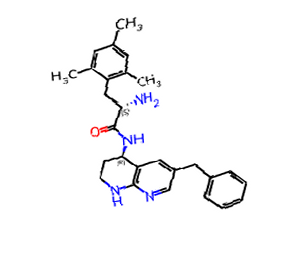 Cc1cc(C)c(C[C@H](N)C(=O)N[C@@H]2CCNc3ncc(Cc4ccccc4)cc32)c(C)c1